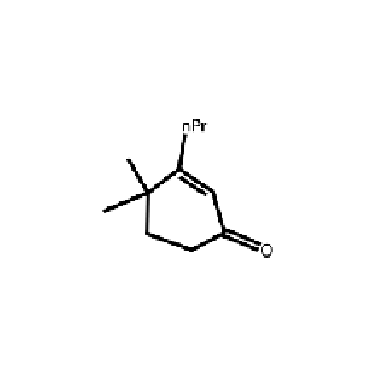 CCCC1=CC(=O)CCC1(C)C